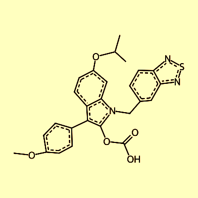 COc1ccc(-c2c(OC(=O)O)n(Cc3ccc4nsnc4c3)c3cc(OC(C)C)ccc23)cc1